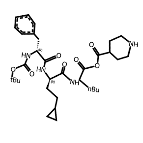 CCCCC(NC(=O)[C@@H](CCC1CC1)NC(=O)[C@@H](Cc1ccccc1)NC(=O)OC(C)(C)C)C(=O)OC(=O)C1CCNCC1